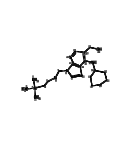 C[Si](C)(C)CCOCn1ccc2c(NC3CCCCC3)c(CO)cnc21